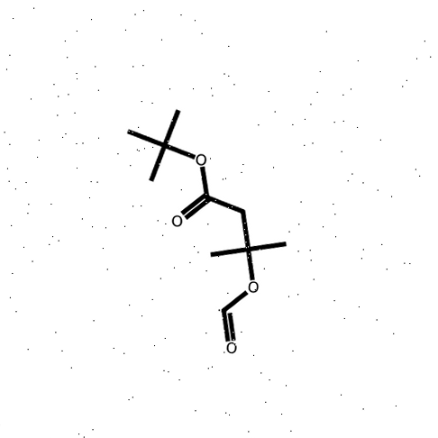 CC(C)(C)OC(=O)CC(C)(C)O[C]=O